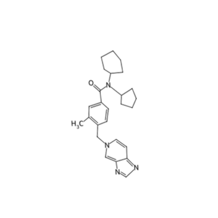 Cc1cc(C(=O)N(C2CCCCC2)C2CCCC2)ccc1Cn1ccc2ncnc-2c1